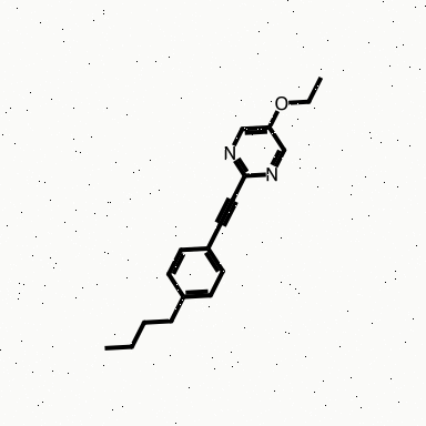 CCCCc1ccc(C#Cc2ncc(OCC)cn2)cc1